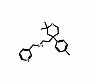 Cc1ccc(C2(CCNCc3cccnc3)CCOC(C)(C)C2)cc1